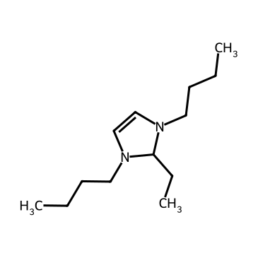 CCCCN1C=CN(CCCC)C1CC